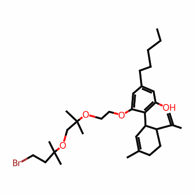 C=C(C)C1CCC(C)=CC1c1c(O)cc(CCCCC)cc1OCCOC(C)(C)COC(C)(C)CCBr